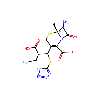 CCC(C(=O)O)C(Sc1nnn[nH]1)C1=C(C(=O)O)N2C(=O)C(N)[C@H]2SC1